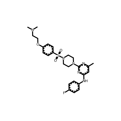 Cc1cc(Nc2ccc(F)cc2)nc(N2CCN(S(=O)(=O)c3ccc(OCCN(C)C)cc3)CC2)n1